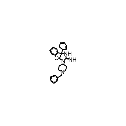 N=C1NC(c2ccccc2)(C2C=CC=CC2)C(=O)N1C1CCN(Cc2ccccc2)CC1